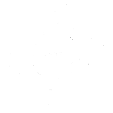 c1ccc(N(c2ccccc2)c2ccc(-c3ccccc3-n3c4ccccc4c4ccccc43)cc2)cc1